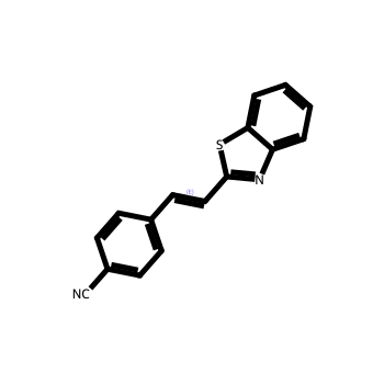 N#Cc1ccc(/C=C/c2nc3ccccc3s2)cc1